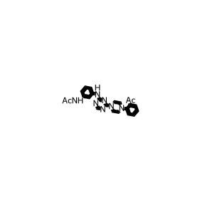 CC(=O)Nc1cccc(Nc2ncnc(N3CCN(c4ccccc4C(C)=O)CC3)n2)c1